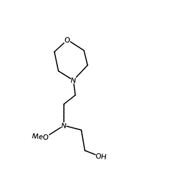 CON(CCO)CCN1CCOCC1